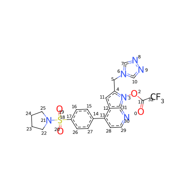 O=C(On1c(Cn2cnnc2)cc2c(-c3ccc(S(=O)(=O)N4CCCC4)cc3)ccnc21)C(F)(F)F